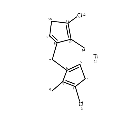 CC1=C(Cl)CC=C1CC1=CCC(Cl)=C1C.[Ti]